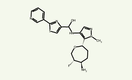 Cn1ncc(NC(O)c2csc(-c3cccnc3)n2)c1[C@@H]1CC[C@@H](N)[C@H](F)CO1